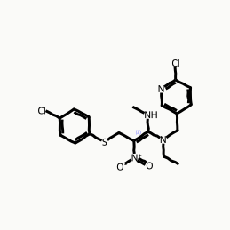 CCN(Cc1ccc(Cl)nc1)/C(NC)=C(/CSc1ccc(Cl)cc1)[N+](=O)[O-]